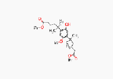 CCOc1cc(C(C)(C)CCCC(=O)OC(C)C)c(O)cc1C(C)(C)CCCC(=O)OC(C)C